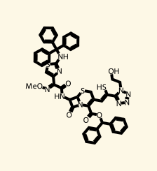 CON=C(C(=O)NC1C(=O)N2C(C(=O)OC(c3ccccc3)c3ccccc3)=C(C=C(S)c3nnnn3CCO)CSC12)c1csc(NC(c2ccccc2)(c2ccccc2)c2ccccc2)n1